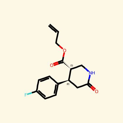 C=CCOC(=O)[C@@H]1CNC(=O)C[C@H]1c1ccc(F)cc1